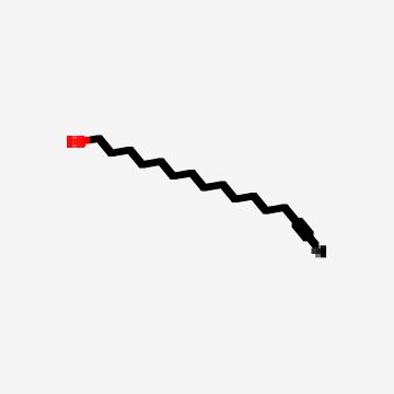 [2H]C#CCCCCCCCCCCCCCO